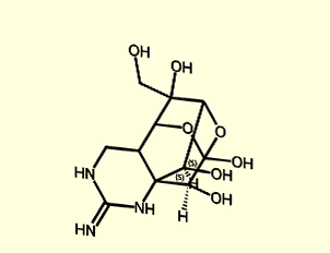 N=C1NCC2C3OC4(O)OC([C@@H](O)C2(N1)[C@@H]4O)C3(O)CO